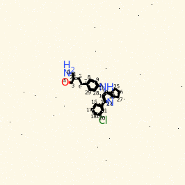 NCC(C=O)CCc1ccc(Nc2cc(-c3cccc(Cl)c3)nc3c2CCC3)cc1